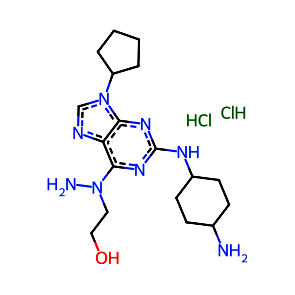 Cl.Cl.NC1CCC(Nc2nc(N(N)CCO)c3ncn(C4CCCC4)c3n2)CC1